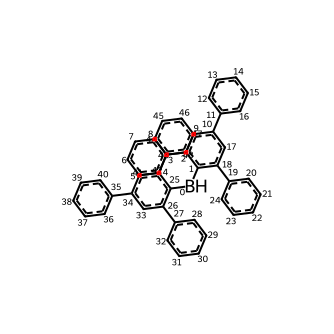 B(c1c(-c2ccccc2)cc(-c2ccccc2)cc1-c1ccccc1)c1c(-c2ccccc2)cc(-c2ccccc2)cc1-c1ccccc1